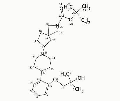 CC(C)(O)COc1ccccc1C1CCN(C2CCC3(C2)CN(C(=O)OC(C)(C)C)C3)CC1